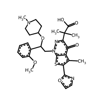 COc1ccccc1C(Cn1nc(C(C)(C)C(=O)O)c(=O)c2c(C)c(-c3ncco3)sc21)OC1CCN(C)CC1